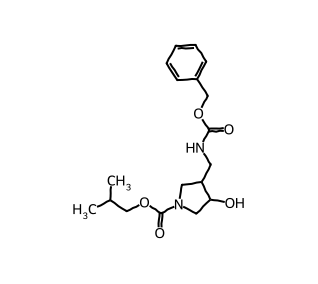 CC(C)COC(=O)N1CC(O)C(CNC(=O)OCc2ccccc2)C1